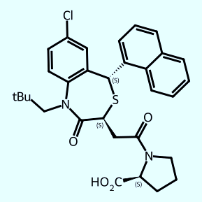 CC(C)(C)CN1C(=O)[C@H](CC(=O)N2CCC[C@H]2C(=O)O)S[C@@H](c2cccc3ccccc23)c2cc(Cl)ccc21